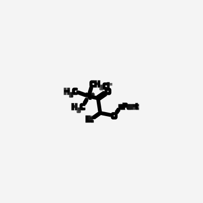 CCCCCOC(CC)C(=O)[N+](C)(C)C.[Cl-]